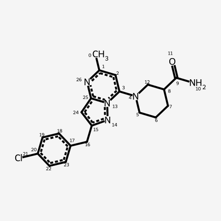 Cc1cc(N2CCCC(C(N)=O)C2)n2nc(Cc3ccc(Cl)cc3)cc2n1